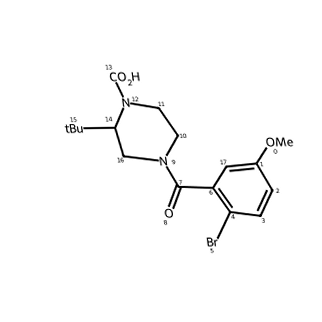 COc1ccc(Br)c(C(=O)N2CCN(C(=O)O)C(C(C)(C)C)C2)c1